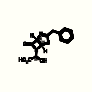 O=C(O)[C@H](O)N1C(=O)[C@H]2N=C(Cc3ccccc3)S[C@H]21